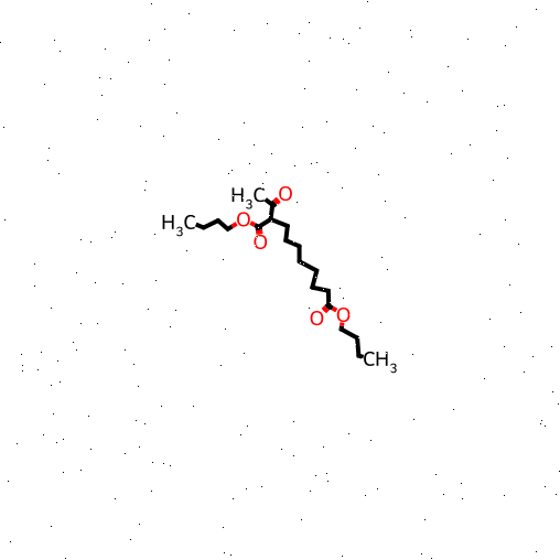 CCCCOC(=O)CCCCCCCC(C(C)=O)C(=O)OCCCC